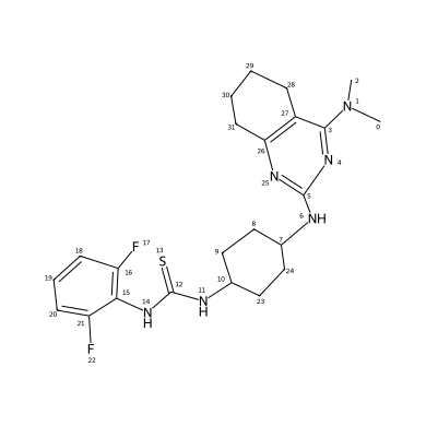 CN(C)c1nc(NC2CCC(NC(=S)Nc3c(F)cccc3F)CC2)nc2c1CCCC2